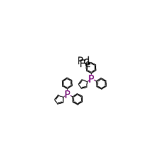 C1=CC(P(c2ccccc2)c2ccccc2)C=C1.C1=CC(P(c2ccccc2)c2ccccc2)C=C1.[Fe].[Pd]